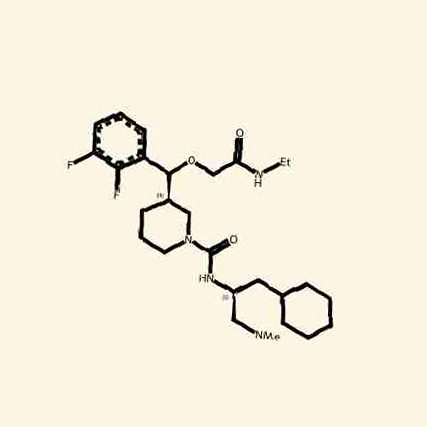 CCNC(=O)COC(c1cccc(F)c1F)[C@@H]1CCCN(C(=O)N[C@H](CNC)CC2CCCCC2)C1